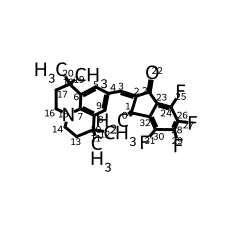 C=C1/C(=C\c2cc3c4c(c2)C(C)(C)CCN4CCC3(C)C)C(=O)c2c(F)c(F)c(F)c(F)c21